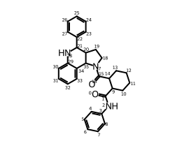 O=C(Nc1ccccc1)C1CCCCC1C(=O)N1CCC2C(c3ccccc3)Nc3ccccc3C21